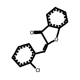 O=C1C(=Cc2ccccc2Cl)Oc2ccccc21